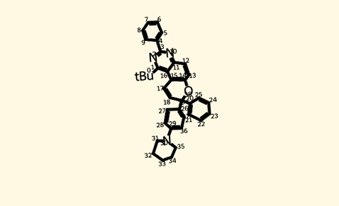 CC(C)(C)c1nc(-c2ccccc2)nc2ccc3c(c12)C=CC(c1ccccc1)(c1ccc(N2CCCCC2)cc1)O3